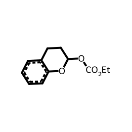 CCOC(=O)OC1CCc2ccccc2O1